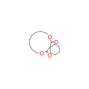 O=C1OCCCCCCCCOC(=O)C12CCCCC2